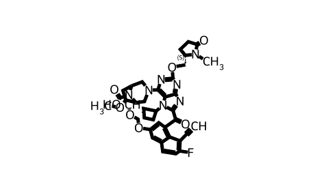 C#Cc1c(F)ccc2cc(OCOC)cc(C(=O)c3nc4nc(OC[C@@H]5CCC(=O)N5C)nc(N5CC6CC(OC)C(C5)N6C(=O)O)c4n3C3CCC3)c12